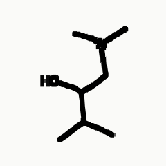 CC(C)C(O)CN(C)C